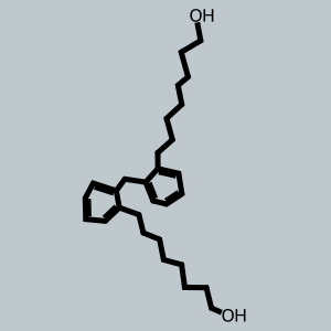 OCCCCCCCCc1ccccc1Cc1ccccc1CCCCCCCCO